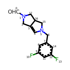 O=CN1CC2=CN(Cc3cc(F)cc(F)c3)CC2C1